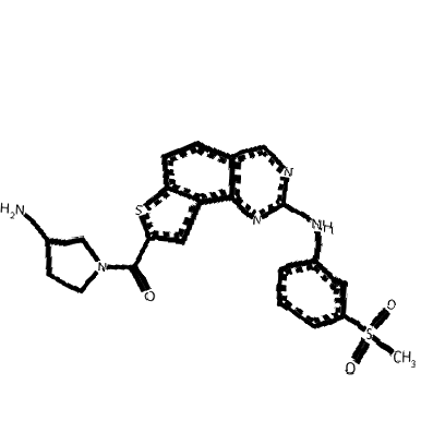 CS(=O)(=O)c1cccc(Nc2ncc3ccc4sc(C(=O)N5CCC(N)C5)cc4c3n2)c1